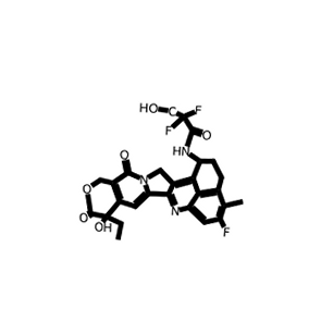 CCC1(O)C(=O)OCc2c1cc1n(c2=O)Cc2c-1nc1cc(F)c(C)c3c1c2C(NC(=O)C(F)(F)CO)CC3